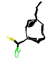 CCc1cccc(C(=S)Cl)c1